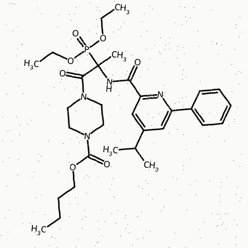 CCCCOC(=O)N1CCN(C(=O)C(C)(NC(=O)c2cc(C(C)C)cc(-c3ccccc3)n2)P(=O)(OCC)OCC)CC1